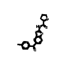 Cc1ccc(C(=O)c2ccc3nc(NC(=O)C4CCCO4)sc3c2)cc1